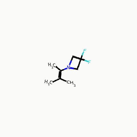 CC(C)=C(C)N1CC(F)(F)C1